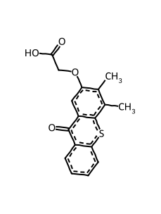 Cc1c(OCC(=O)O)cc2c(=O)c3ccccc3sc2c1C